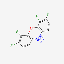 Nc1ccc(F)c(F)c1Oc1c(N)ccc(F)c1F